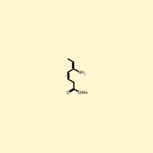 C/C=C(N)\C=C/CC(=O)OC